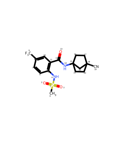 CS(=O)(=O)Nc1ccc(C(F)(F)F)cc1C(=O)NC12CCC(C#N)(CC1)C2